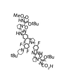 COC(=O)N[C@H](C(=O)N1CCC[C@H]1c1nc2cc([C@H]3CC[C@H](c4cc5nc([C@@H]6CCCN6C(=O)[C@H]([C@@H](C)OC(C)(C)C)N(C)C(=O)O)[nH]c5cc4F)N3c3cc(F)c(N4CCC(C(C)(C)C)CC4)c(F)c3)c(F)cc2[nH]1)[C@@H](C)OC(C)(C)C